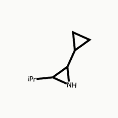 CC(C)C1NC1C1CC1